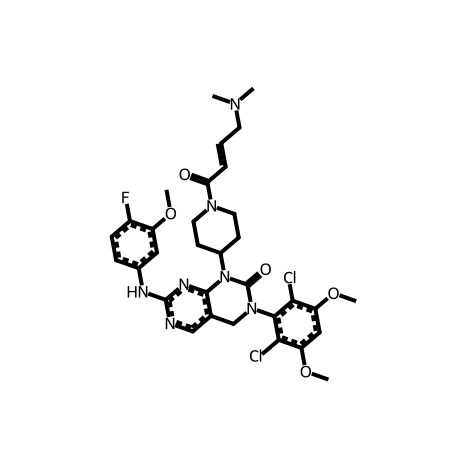 COc1cc(Nc2ncc3c(n2)N(C2CCN(C(=O)/C=C/CN(C)C)CC2)C(=O)N(c2c(Cl)c(OC)cc(OC)c2Cl)C3)ccc1F